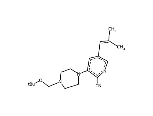 CC(C)=Cc1cnc(C#N)c(N2CCN(COC(C)(C)C)CC2)c1